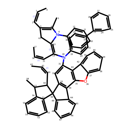 C/C=C\C1=C(C)N(c2ccccc2)/C(=C(/C=C\C)N(c2ccc(-c3ccccc3)cc2)c2cc3c(c4oc5ccccc5c24)-c2ccccc2C32c3ccccc3C(C)C2/C=C\C)C1